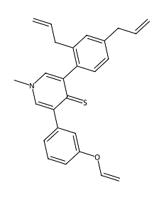 C=CCc1ccc(-c2cn(C)cc(-c3cccc(OC=C)c3)c2=S)c(CC=C)c1